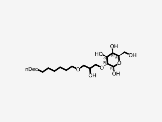 CCCCCCCCCCCCCCCCOCC(O)CO[C@@H]1[C@@H](O)[C@@H](O)[C@@H](CO)O[C@H]1O